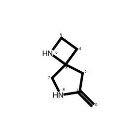 C=C1CC2(CCN2)CN1